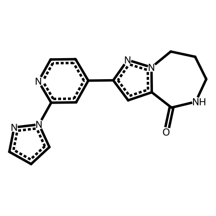 O=C1NCCCn2nc(-c3ccnc(-n4cccn4)c3)cc21